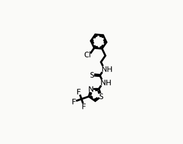 FC(F)(F)c1csc(NC(=S)NCCc2ccccc2Cl)n1